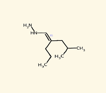 CCC/C(=C\NN)CC(C)C